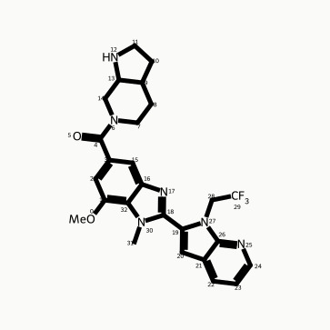 COc1cc(C(=O)N2CCC3CCNC3C2)cc2nc(-c3cc4cccnc4n3CC(F)(F)F)n(C)c12